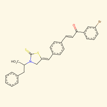 O=C(/C=C/c1ccc(C=C2CN(C(Cc3ccccc3)C(=O)O)C(=S)S2)cc1)c1cccc(Br)c1